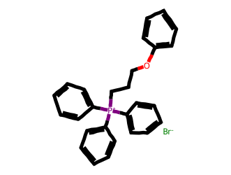 [Br-].c1ccc(OCCC[P+](c2ccccc2)(c2ccccc2)c2ccccc2)cc1